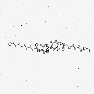 CCCCCCCCCC(=O)Oc1cnc(-c2ccc(OC(=O)CCCCCCC)cc2)nc1